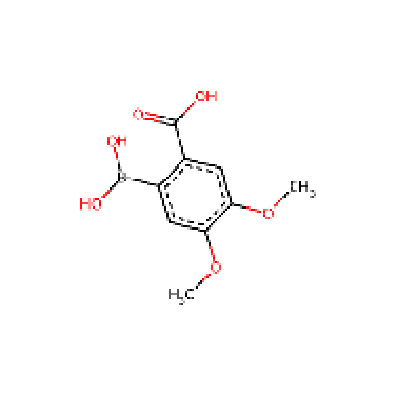 COc1cc(B(O)O)c(C(=O)O)cc1OC